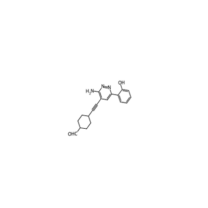 Nc1nnc(-c2ccccc2O)cc1C#CC1CCC(C=O)CC1